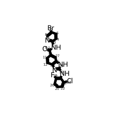 O=C(Nc1ccc(Br)cn1)c1ccc2nc(Nc3c(F)cccc3Cl)[nH]c2c1